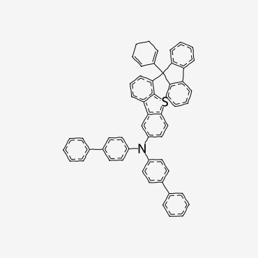 C1=CC(C2(c3cccc4c3sc3ccc(N(c5ccc(-c6ccccc6)cc5)c5ccc(-c6ccccc6)cc5)cc34)c3ccccc3-c3ccccc32)=CCC1